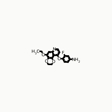 CCOc1cc2nccc(Oc3ccc(N)cc3F)c2c2c1OCCO2